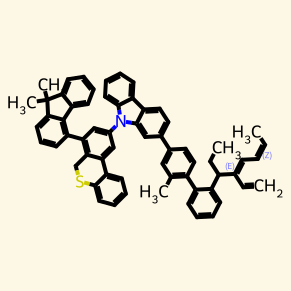 C=C/C(=C\C=C/C)C(CC)c1ccccc1-c1ccc(-c2ccc3c4ccccc4n(-c4cc5c(c(-c6cccc7c6-c6ccccc6C7(C)C)c4)CSc4ccccc4-5)c3c2)cc1C